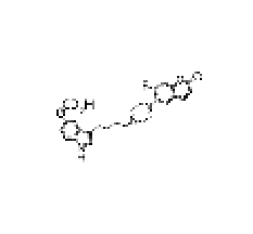 O=C(O)Oc1ccc2[nH]cc(CCCCN3CCN(c4cc5ccc(=O)oc5cc4F)CC3)c2c1